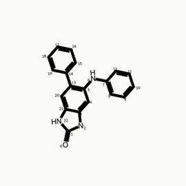 O=C1[N]c2cc(Nc3ccccc3)c(-c3ccccc3)cc2N1